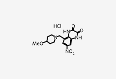 COC1CCN(Cc2cc([N+](=O)[O-])cc3[nH]c(=O)c(=O)[nH]c23)CC1.Cl